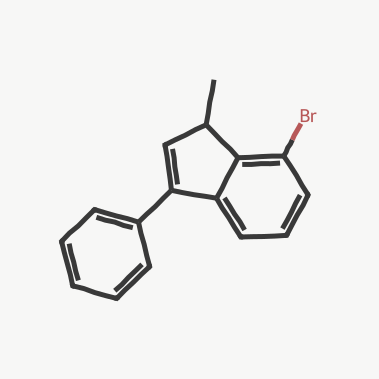 CC1C=C(c2ccccc2)c2cccc(Br)c21